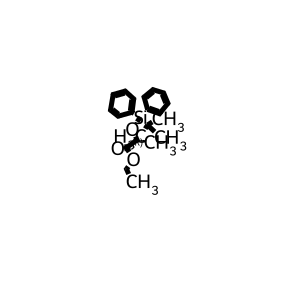 CCOC(=O)[C@@H](C)O[Si](c1ccccc1)(c1ccccc1)C(C)(C)C